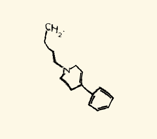 [CH2]CCCN1CC=C(c2ccccc2)CC1